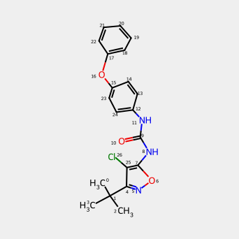 CC(C)(C)c1noc(NC(=O)Nc2ccc(Oc3ccccc3)cc2)c1Cl